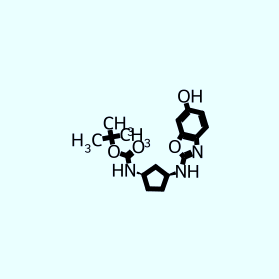 CC(C)(C)OC(=O)N[C@H]1CC[C@H](Nc2nc3ccc(O)cc3o2)C1